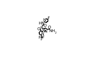 NC(=O)c1cc2n(CC(=O)Nc3ccc(F)cn3)c(=O)c3ccc(C(F)(F)F)nc3n2n1